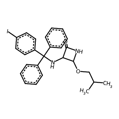 CC(C)COC1NC(=O)C1NC(c1ccccc1)(c1ccccc1)c1ccc(I)cc1